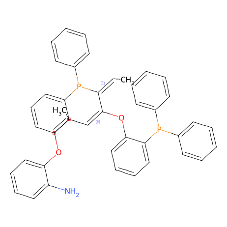 C/C=C(\C(=C/C(C)COc1ccccc1N)Oc1ccccc1P(c1ccccc1)c1ccccc1)P(c1ccccc1)c1ccccc1